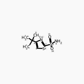 CC(C)(C)c1csc(S(N)(=O)=O)n1